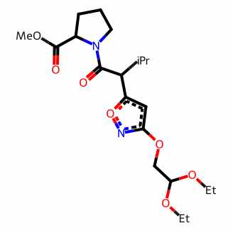 CCOC(COc1cc(C(C(=O)N2CCCC2C(=O)OC)C(C)C)on1)OCC